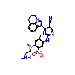 CNCCN(C)c1cc(C)c(Nc2ncc(C#N)c(-c3cn4c5c(cccc35)CCC4)n2)cc1[N+](=O)[O-]